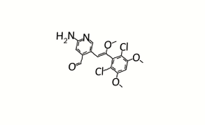 CO/C(=C\c1cnc(N)cc1C=O)c1c(Cl)c(OC)cc(OC)c1Cl